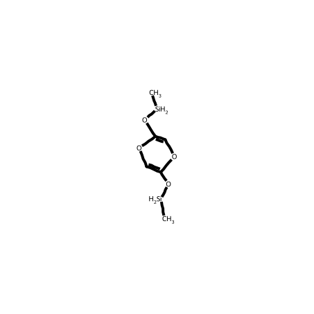 C[SiH2]OC1=COC(O[SiH2]C)=CO1